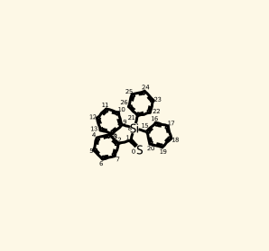 S=C(c1ccccc1)[Si](c1ccccc1)(c1ccccc1)c1ccccc1